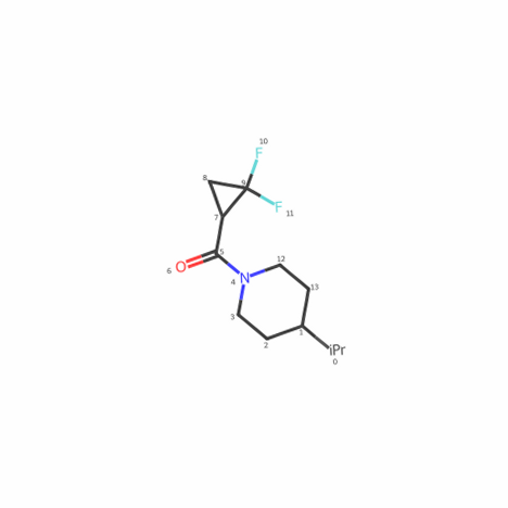 CC(C)C1CCN(C(=O)C2CC2(F)F)CC1